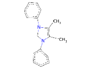 CC1=C(C)N(c2ccccc2)CN1c1ccccc1